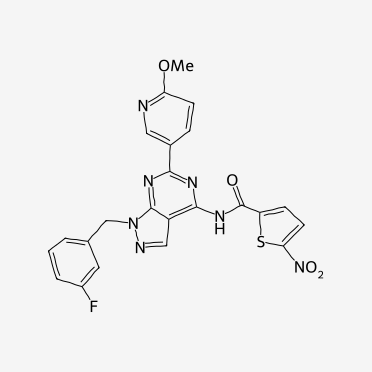 COc1ccc(-c2nc(NC(=O)c3ccc([N+](=O)[O-])s3)c3cnn(Cc4cccc(F)c4)c3n2)cn1